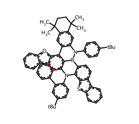 CC(C)(C)c1ccc(N2B3c4ccc5c(sc6ccccc65)c4N(c4ccc(C(C)(C)C)cc4-c4ccccc4)c4cc5c(oc6ccccc65)c(c43)-c3cc4c(cc32)C(C)(C)CCC4(C)C)cc1